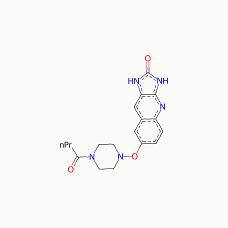 CCCC(=O)N1CCN(Oc2ccc3nc4[nH]c(=O)[nH]c4cc3c2)CC1